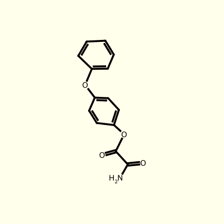 NC(=O)C(=O)Oc1ccc(Oc2ccccc2)cc1